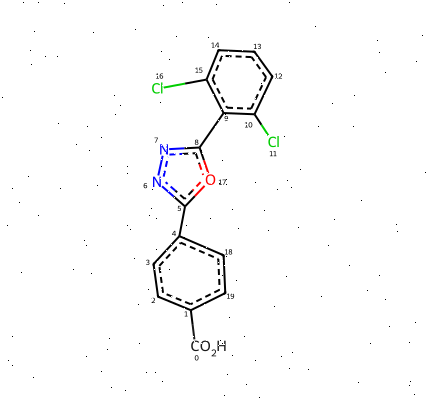 O=C(O)c1ccc(-c2nnc(-c3c(Cl)cccc3Cl)o2)cc1